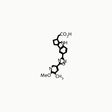 COc1ncc(-c2nc(-c3ccc4[nH]c5c(c4c3)CCC5CC(=O)O)no2)cc1C